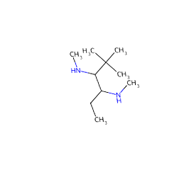 CCC(NC)C(NC)C(C)(C)C